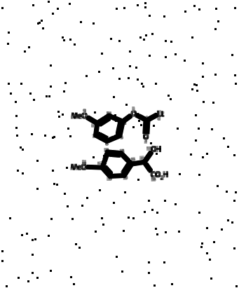 CCC(=O)Oc1cccc(OC)c1.COc1ccc(C(O)C(=O)O)cc1